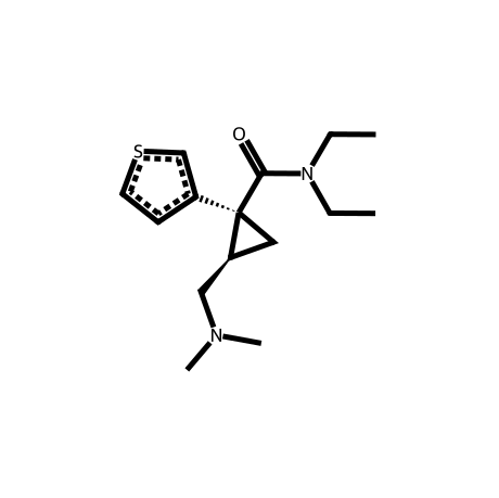 CCN(CC)C(=O)[C@@]1(c2ccsc2)C[C@H]1CN(C)C